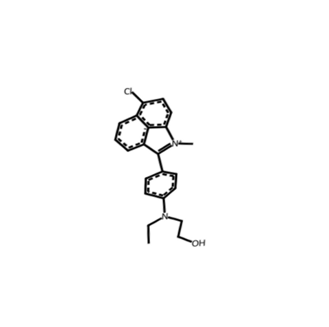 CCN(CCO)c1ccc(C2=[N+](C)c3ccc(Cl)c4cccc2c34)cc1